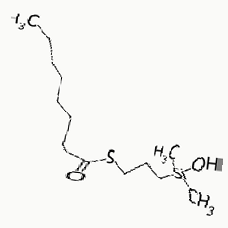 CCCCCCCC(=O)SCCC[Si](C)(C)O